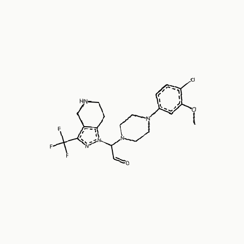 COc1cc(N2CCN(C(C=O)n3nc(C(F)(F)F)c4c3CCNC4)CC2)ccc1Cl